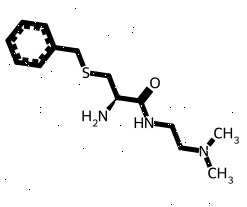 CN(C)CCNC(=O)[C@@H](N)CSCc1ccccc1